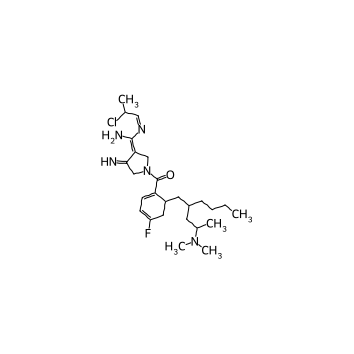 CCCCC(CC1CC(F)=CC=C1C(=O)N1CC(=N)/C(=C(N)/N=C\C(C)Cl)C1)CC(C)N(C)C